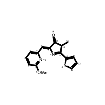 COc1cccc(/C=C2\N=C(c3cccs3)C(C)C2=O)n1